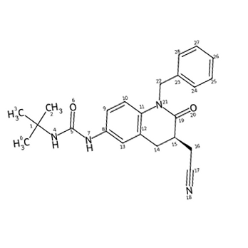 CC(C)(C)NC(=O)Nc1ccc2c(c1)C[C@H](CC#N)C(=O)N2Cc1ccccc1